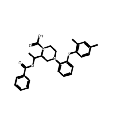 Cc1ccc(Sc2ccccc2N2CCN(C(=O)O)C(C(C)OC(=O)c3ccccc3)C2)c(C)c1